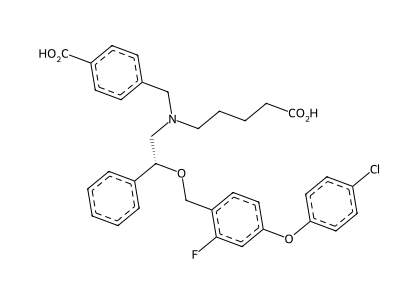 O=C(O)CCCCN(Cc1ccc(C(=O)O)cc1)C[C@H](OCc1ccc(Oc2ccc(Cl)cc2)cc1F)c1ccccc1